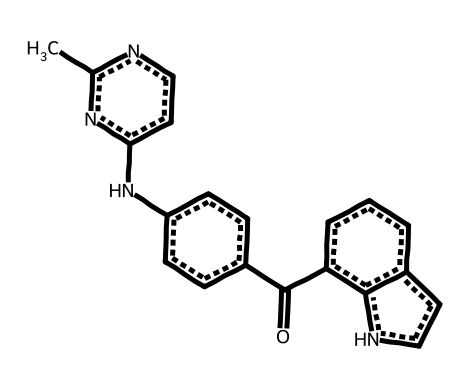 Cc1nccc(Nc2ccc(C(=O)c3cccc4cc[nH]c34)cc2)n1